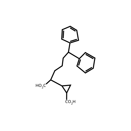 O=C(O)C(CCCC(c1ccccc1)c1ccccc1)C1CC1C(=O)O